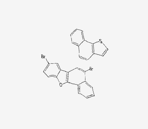 Brc1ccc2oc3c4ccccc4c(Br)cc3c2c1.c1ccc2c(c1)ccc1ccsc12